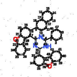 c1ccc(C2=NC(c3c(-c4ccc5ccccc5c4)ccc4oc5ccccc5c34)=NC(c3cccc4oc5ccccc5c34)N2)cc1